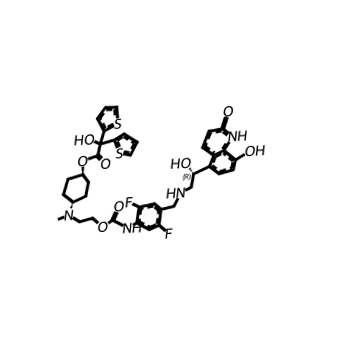 CN(CCOC(=O)Nc1cc(F)c(CNC[C@H](O)c2ccc(O)c3[nH]c(=O)ccc23)cc1F)[C@H]1CC[C@H](OC(=O)C(O)(c2cccs2)c2cccs2)CC1